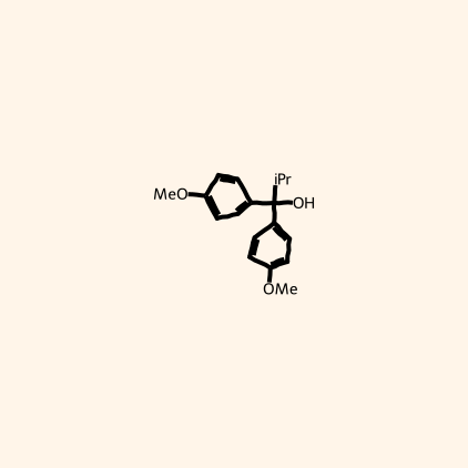 COc1ccc(C(O)(c2ccc(OC)cc2)C(C)C)cc1